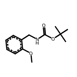 COc1ccccc1CNC(=O)OC(C)(C)C